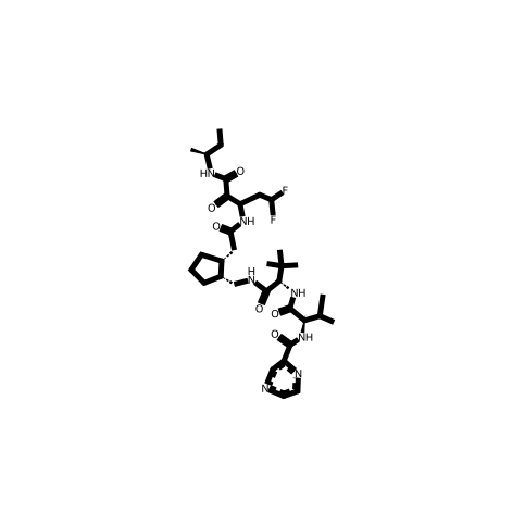 CC[C@H](C)NC(=O)C(=O)C(CC(F)F)NC(=O)C[C@H]1CCC[C@H]1CNC(=O)[C@@H](NC(=O)[C@H](NC(=O)c1cnccn1)C(C)C)C(C)(C)C